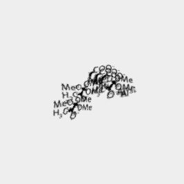 CC(=O)CC(=O)[O-].CC(=O)CC(=O)[O-].CC(=O)CC(=O)[O-].COC(OC)(OC)C(C)[O-].COC(OC)(OC)C(C)[O-].COC(OC)(OC)C(C)[O-].[Al+3].[Al+3]